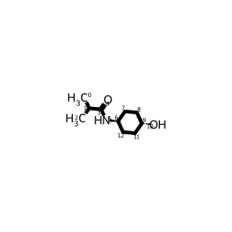 CC(C)C(=O)N[C@H]1CC[C@H](O)CC1